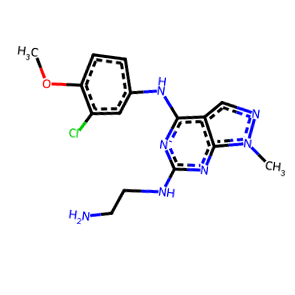 COc1ccc(Nc2nc(NCCN)nc3c2cnn3C)cc1Cl